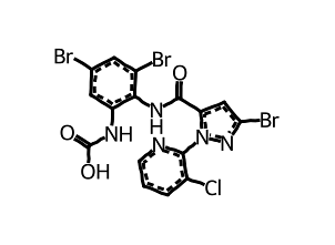 O=C(O)Nc1cc(Br)cc(Br)c1NC(=O)c1cc(Br)nn1-c1ncccc1Cl